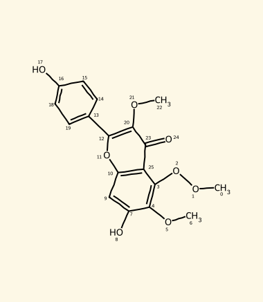 COOc1c(OC)c(O)cc2oc(-c3ccc(O)cc3)c(OC)c(=O)c12